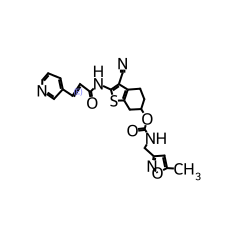 Cc1cc(CNC(=O)OC2CCc3c(sc(NC(=O)/C=C/c4cccnc4)c3C#N)C2)no1